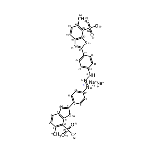 Cc1ccc2nc(-c3ccc(/N=N/Nc4ccc(-c5nc6ccc(C)c(S(=O)(=O)[O-])c6s5)cc4)cc3)sc2c1S(=O)(=O)[O-].[Na+].[Na+]